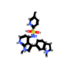 Cc1ccc(S(=O)(=O)Nc2ccnc3c2c(-c2ccc4c(c2)N(C)CC4)cn3C)nc1